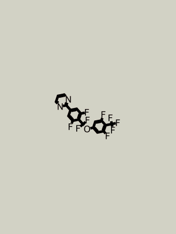 Fc1cc(OC(F)(F)c2c(F)cc(-c3ncccn3)cc2F)cc(F)c1C(F)(F)F